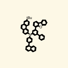 CC(C)(C)c1ccc2c(ccc3ccc(N(c4ccc(-c5cccc6ccccc56)cc4)c4cc(-c5ccccc5)cc(-c5cccc6c5oc5ccccc56)c4)cc32)c1